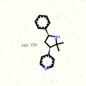 CC1(C)N[C@H](c2ccccc2)C[C@@H]1c1ccncc1.Cl.Cl